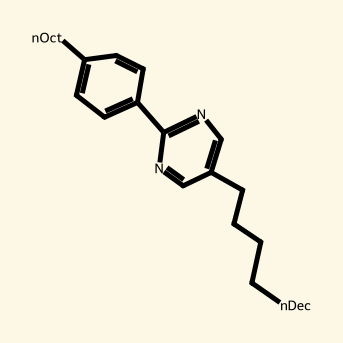 CCCCCCCCCCCCCCc1cnc(-c2ccc(CCCCCCCC)cc2)nc1